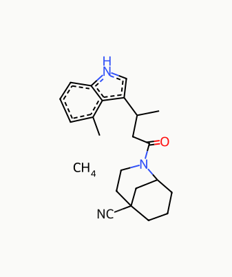 C.Cc1cccc2[nH]cc(C(C)CC(=O)N3CCC4(C#N)CCCC3C4)c12